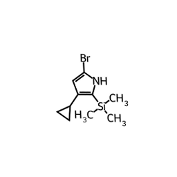 C[Si](C)(C)c1[nH]c(Br)cc1C1CC1